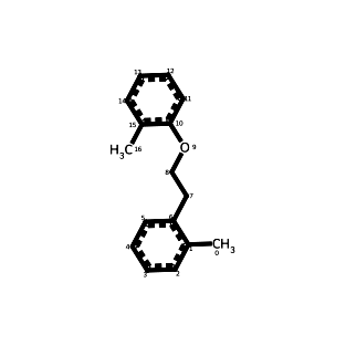 Cc1ccccc1CCOc1ccccc1C